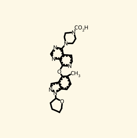 Cc1ccc2c(cnn2C2CCCCO2)c1Oc1nccc2c(N3CCN(C(=O)O)CC3)ncnc12